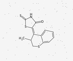 CC1CSc2ccccc2C1=C1SC(=S)NC1=O